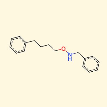 c1ccc(CCCCONCc2ccccc2)cc1